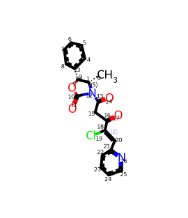 C[C@H]1[C@@H](c2ccccc2)OC(=O)N1C(=O)CC(=O)/C(Cl)=C/c1ccccn1